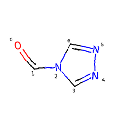 O=Cn1cnnc1